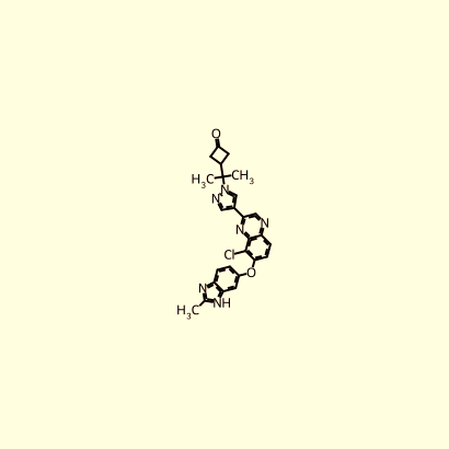 Cc1nc2ccc(Oc3ccc4ncc(-c5cnn(C(C)(C)C6CC(=O)C6)c5)nc4c3Cl)cc2[nH]1